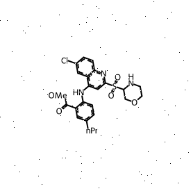 CCCc1ccc(Nc2cc(S(=O)(=O)C3COCCN3)nc3ccc(Cl)cc23)c(C(=O)OC)c1